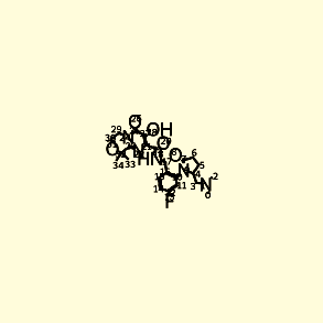 CN(C)CC1CCC(=O)N1c1cc(F)ccc1CNC(=O)c1nc2n(c(=O)c1O)CCOC2(C)C